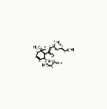 CC(CC(=O)C1C(C)C=CCC1(C)C)SCCO.OCCS